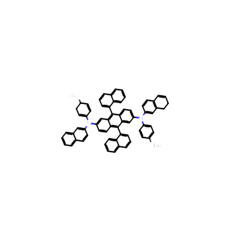 CC(C)(C)c1ccc(N(c2ccc3c(c2)CCC=C3)c2ccc3c(-c4cccc5ccccc45)c4cc(N(C5=CCC(C(C)(C)C)C=C5)c5ccc6ccccc6c5)ccc4c(-c4cccc5ccccc45)c3c2)cc1